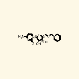 Nc1ccn([C@@H]2O[C@H](COCN3C=CC=CC3)[C@@H](O)[C@H]2O)c(=O)n1